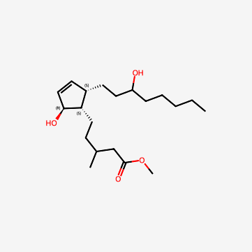 CCCCCC(O)CC[C@H]1C=C[C@H](O)[C@H]1CCC(C)CC(=O)OC